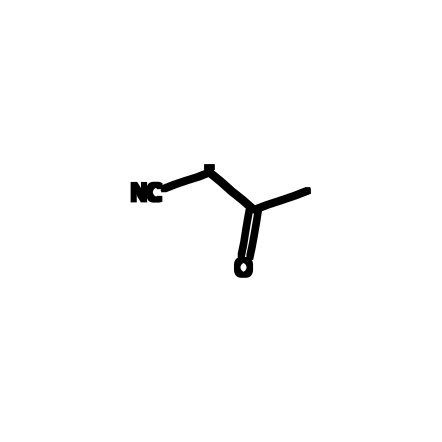 CC(=O)[C]C#N